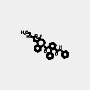 CCNC(=O)C=C1c2ccccc2N(C(=O)c2cccc(C(=O)Nc3ccccc3)c2-c2ccccc2)CCC1(F)F